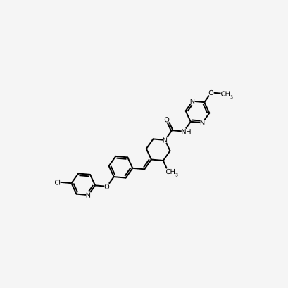 COc1cnc(NC(=O)N2CCC(=Cc3cccc(Oc4ccc(Cl)cn4)c3)C(C)C2)cn1